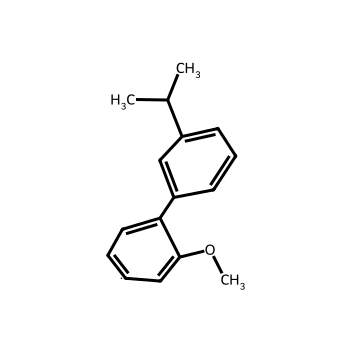 COc1c[c]ccc1-c1cccc(C(C)C)c1